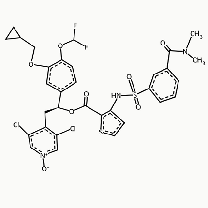 CN(C)C(=O)c1cccc(S(=O)(=O)Nc2ccsc2C(=O)O[C@@H](Cc2c(Cl)c[n+]([O-])cc2Cl)c2ccc(OC(F)F)c(OCC3CC3)c2)c1